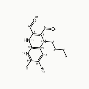 CCCCN1C(C=O)=C(C=O)Nc2nc(C)c(Br)cc21